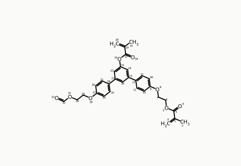 C=C(C)C(=O)OCCOc1ccc(-c2cc(OC(=O)C(=C)C)cc(-c3ccc(OCCOC=O)cc3)c2)cc1